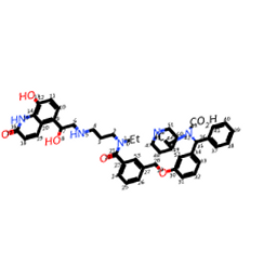 CCN(CCCNCC(O)c1ccc(O)c2[nH]c(=O)ccc12)C(=O)c1cccc(COc2cccc([C@H](c3ccccc3)N(C(=O)O)C3CN4CCC3CC4)c2)c1